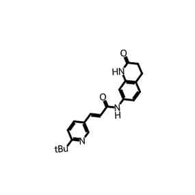 CC(C)(C)c1ccc(/C=C/C(=O)Nc2ccc3c(c2)NC(=O)CC3)cn1